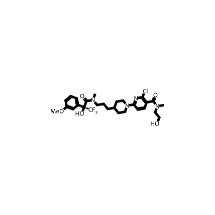 COc1cccc([C@@](O)(C(=O)N(C)CCCC2CCN(c3ccc(C(=O)N(C)CCO)c(Cl)n3)CC2)C(F)(F)F)c1